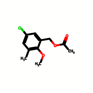 COc1c(C)cc(Cl)cc1COC(C)=O